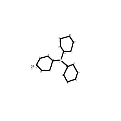 C1CCC(P(C2CCCCC2)C2CCCCC2)CC1.[SiH4]